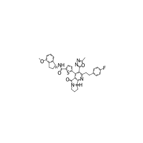 COc1cccc2c1CC[C@H]2NC(=O)c1ccc(-c2c3c(nc(CCc4ccc(F)cc4)c2-c2nnc(C)o2)[C@@H]2CCCN2C3=O)s1